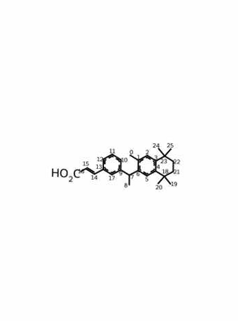 Cc1cc2c(cc1C(C)c1cccc(C=CC(=O)O)c1)C(C)(C)CCC2(C)C